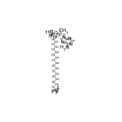 CC(Cn1cnc2c(N)ncnc21)OCP(=O)(O)OCCCCCCCCCCCCCCCCCCCC(F)(F)F